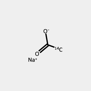 [14CH3]C(=O)[O-].[Na+]